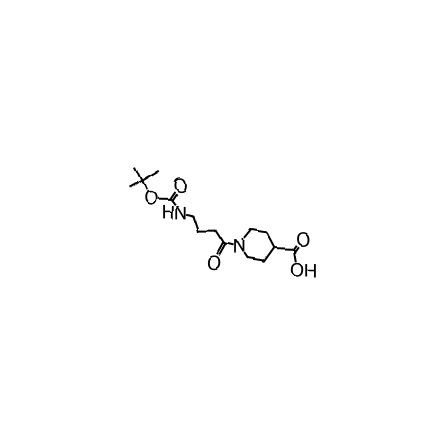 CC(C)(C)OC(=O)NCCCC(=O)N1CCC(C(=O)O)CC1